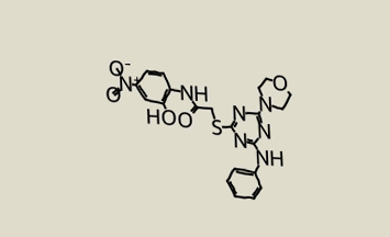 O=C(CSc1nc(Nc2ccccc2)nc(N2CCOCC2)n1)Nc1ccc([N+](=O)[O-])cc1O